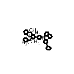 CC1(C)c2ccccc2N2c3ccccc3C(C)(C)c3cc(-c4ccc(N(c5ccc(-c6ccccc6)cc5)c5cccc6ccccc56)cc4)cc1c32